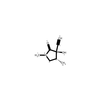 C#C[C@@]1(O)C(=O)N(C)C[C@H]1C